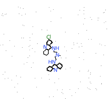 CN(CCNc1c2c(nc3cc(Cl)ccc13)CCCC2)CCNc1c2ccccc2nc2ccccc12